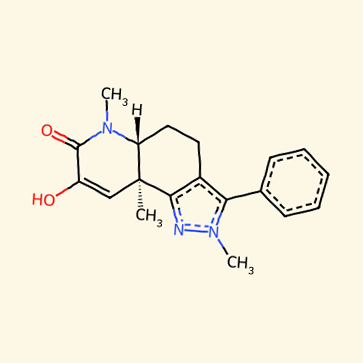 CN1C(=O)C(O)=C[C@]2(C)c3nn(C)c(-c4ccccc4)c3CC[C@@H]12